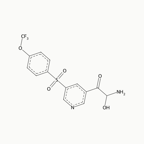 NC(O)C(=O)c1cncc(S(=O)(=O)c2ccc(OC(F)(F)F)cc2)c1